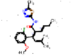 CC/C=C/C(C(=O)Nc1nnc(C)s1)=C(\C=C(C)C)c1c(F)cccc1OC